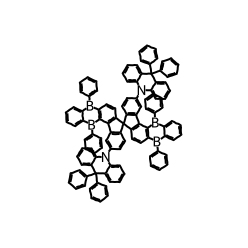 c1ccc(B2c3ccccc3B(c3ccccc3)c3c2ccc2c3-c3cc(N4c5ccccc5C(c5ccccc5)(c5ccccc5)c5ccccc54)ccc3C23c2ccc(N4c5ccccc5C(c5ccccc5)(c5ccccc5)c5ccccc54)cc2-c2c3ccc3c2B(c2ccccc2)c2ccccc2B3c2ccccc2)cc1